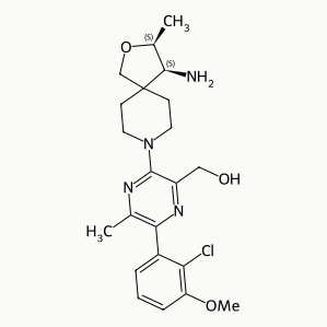 COc1cccc(-c2nc(CO)c(N3CCC4(CC3)CO[C@@H](C)[C@H]4N)nc2C)c1Cl